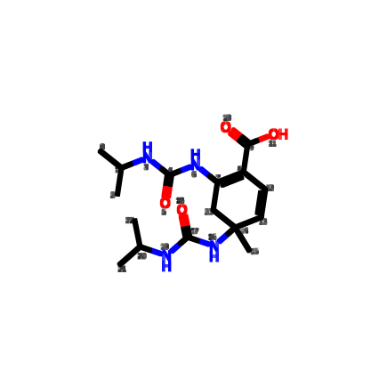 CC(C)NC(=O)NC1=C(C(=O)O)C=CC(C)(NC(=O)NC(C)C)C1